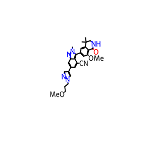 COCCCn1cc(-c2cc(C#N)c3c(-c4cc(OC)c5c(c4)C(C)(C)CNC5=O)n(C)nc3c2)cn1